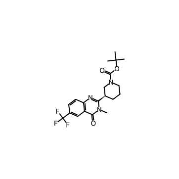 Cn1c([C@@H]2CCCN(C(=O)OC(C)(C)C)C2)nc2ccc(C(F)(F)F)cc2c1=O